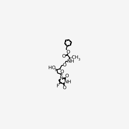 C[C@H](NCOCC1O[C@@H](n2cc(F)c(=O)[nH]c2=O)C[C@H]1O)C(=O)OCc1ccccc1